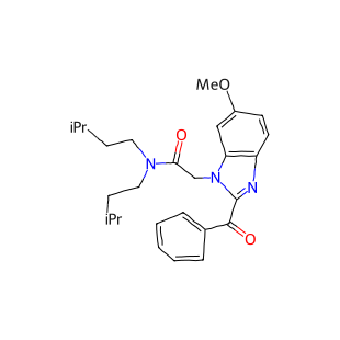 COc1ccc2nc(C(=O)c3ccccc3)n(CC(=O)N(CCC(C)C)CCC(C)C)c2c1